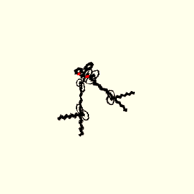 CCCCCCCCC(CCCCCC)C(=O)OCCCCCCOC(=O)CCC(O[Si](c1ccccc1)(c1ccccc1)C(C)(C)C)C(=O)OCCCCCCOC(=O)C(CCCCCC)CCCCCCCC